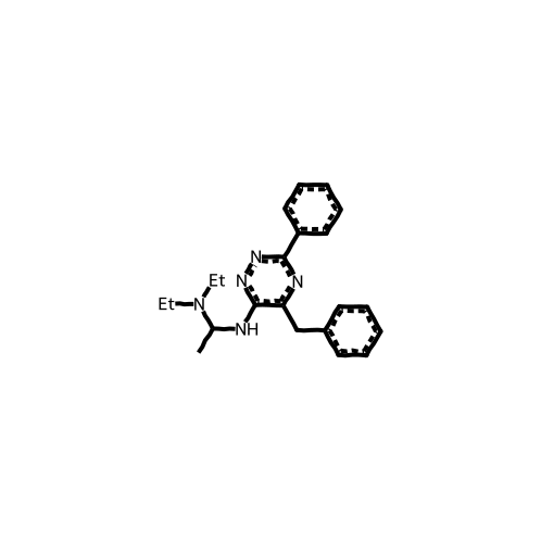 CCN(CC)C(C)Nc1nnc(-c2ccccc2)nc1Cc1ccccc1